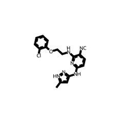 [C-]#[N+]c1ccc(Nc2cc(C)[nH]n2)nc1NCCOc1ccccc1Cl